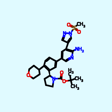 CC(C)(C)OC(=O)N1CCC[C@H]1c1cc(-c2cnc(N)c(-c3cnn(S(C)(=O)=O)c3)c2)ccc1C1CCOCC1